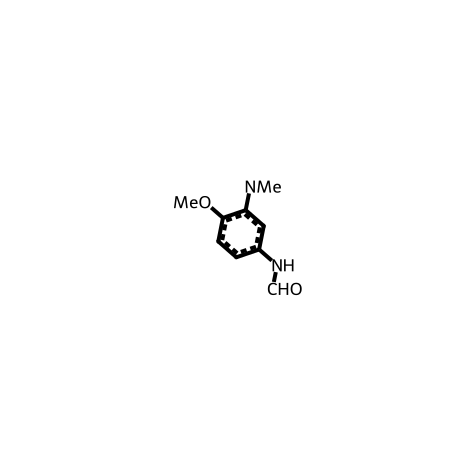 CNc1cc(NC=O)ccc1OC